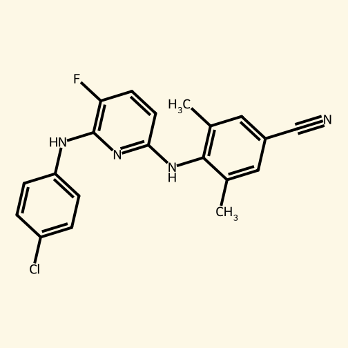 Cc1cc(C#N)cc(C)c1Nc1ccc(F)c(Nc2ccc(Cl)cc2)n1